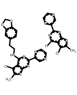 Cc1sc2nc(-c3cnccn3)nc(Cl)c2c1Cl.Cc1sc2nc(-c3cnccn3)nc(NCCc3ccc4c(c3)OCO4)c2c1Cl